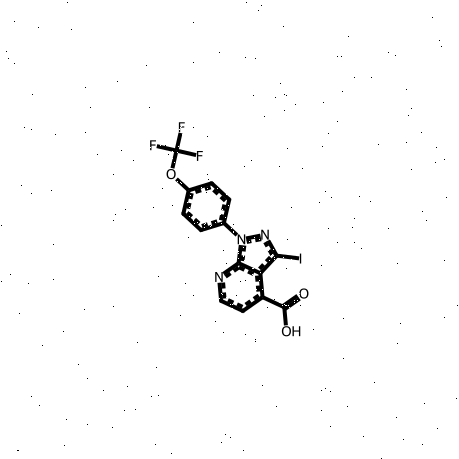 O=C(O)c1ccnc2c1c(I)nn2-c1ccc(OC(F)(F)F)cc1